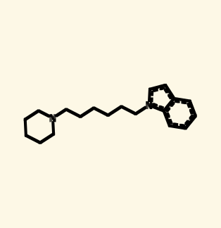 c1ccc2c(c1)ccn2CCCCCCN1CCCCC1